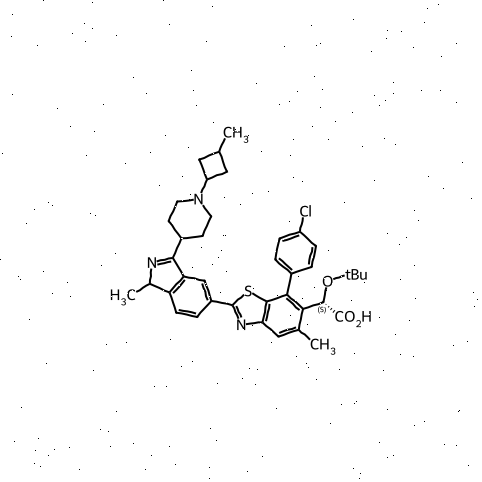 Cc1cc2nc(-c3ccc4c(c3)C(C3CCN(C5CC(C)C5)CC3)=NC4C)sc2c(-c2ccc(Cl)cc2)c1[C@H](OC(C)(C)C)C(=O)O